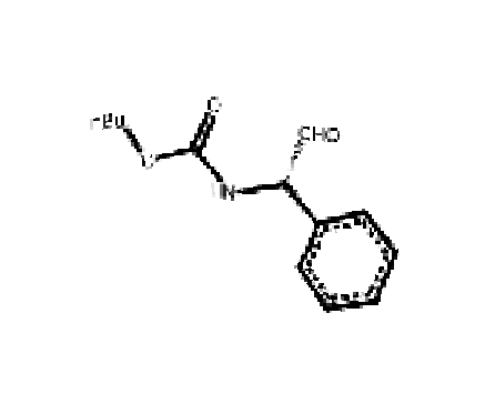 CCCCOC(=O)N[C@H]([C]=O)c1ccccc1